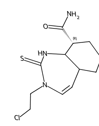 NC(=O)[C@@H]1CCCC2C=CN(CCCl)C(=S)NC21